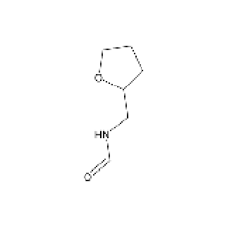 O=CNCC1CCCO1